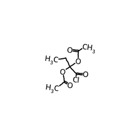 CCC(OC(C)=O)(OC(C)=O)C(=O)Cl